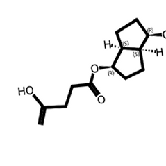 C=C(O)CCC(=O)O[C@@H]1CC[C@H]2[C@@H]1CC[C@H]2O